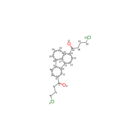 O=C(CCCCl)c1ccc2c(c1)-c1ccc(C(=O)CCCCl)c3cccc-2c13